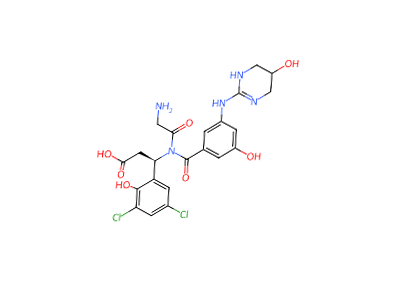 NCC(=O)N(C(=O)c1cc(O)cc(NC2=NCC(O)CN2)c1)[C@H](CC(=O)O)c1cc(Cl)cc(Cl)c1O